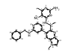 Cc1nc(N)nc(N[C@@H](C)c2nc3ccn(C)c3cc2-c2ccnc(NCc3ccccc3)c2)c1C#N